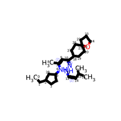 CCC1CCC(N/C(C)=C\C(=N/N/C=C\C(C)C)C2CCC3(CCCO3)CC2)C1